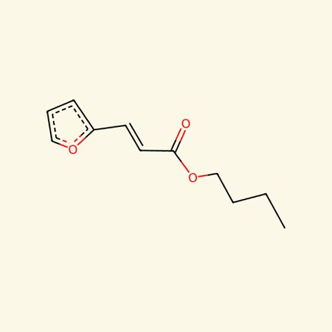 CCCCOC(=O)C=Cc1ccco1